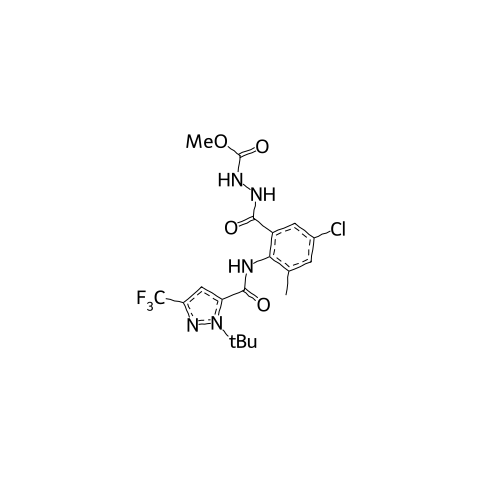 COC(=O)NNC(=O)c1cc(Cl)cc(C)c1NC(=O)c1cc(C(F)(F)F)nn1C(C)(C)C